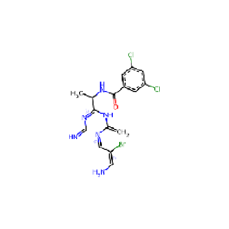 C=C(/N=C\C(Br)=C/N)N/C(=N\C=N)C(C)NC(=O)c1cc(Cl)cc(Cl)c1